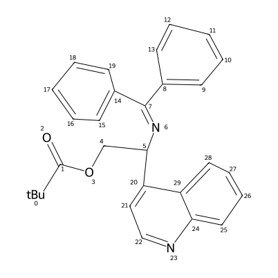 CC(C)(C)C(=O)OCC(N=C(c1ccccc1)c1ccccc1)c1ccnc2ccccc12